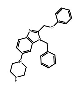 c1ccc(Cn2c(COc3ccccc3)nc3ccc(N4CCNCC4)cc32)cc1